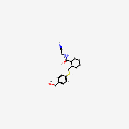 N#CCNC(=O)C1CCCCC1CSc1ccc(CO)cc1